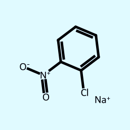 O=[N+]([O-])c1ccccc1Cl.[Na+]